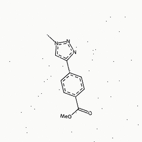 COC(=O)c1ccc(-c2cn(C)nn2)cc1